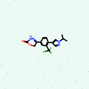 CC(C)n1cc(-c2ccc(C3=NNC(=O)OC3)cc2C(F)(F)F)cn1